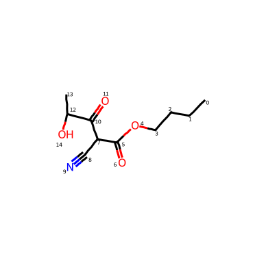 CCCCOC(=O)C(C#N)C(=O)C(C)O